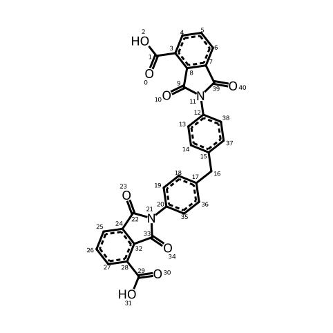 O=C(O)c1cccc2c1C(=O)N(c1ccc(Cc3ccc(N4C(=O)c5cccc(C(=O)O)c5C4=O)cc3)cc1)C2=O